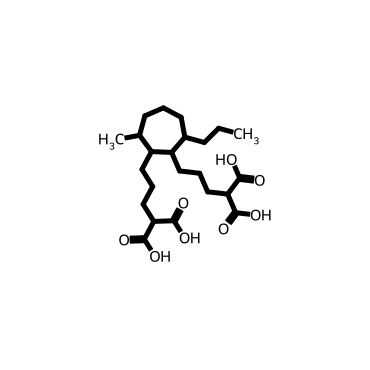 CCCC1CCCC(C)C(CCCC(C(=O)O)C(=O)O)C1CCCC(C(=O)O)C(=O)O